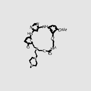 COc1ccc2cc1OCCNC(=O)CCN(CCN1CCN(C)CC1)Cc1cc(ccc1Cl)Nc1cc(ncn1)N2